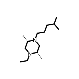 CCN1C[C@H](C)N(CCCC(C)C)C[C@@H]1C